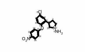 NN1CCC(c2cc(Cl)ccc2Oc2ccc([N+](=O)[O-])cc2)C1